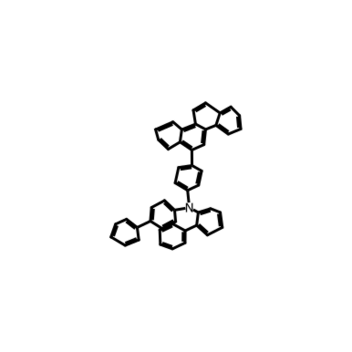 c1ccc(-c2ccc(N(c3ccc(-c4cc5c6ccccc6ccc5c5ccccc45)cc3)c3ccccc3-c3ccccc3)cc2)cc1